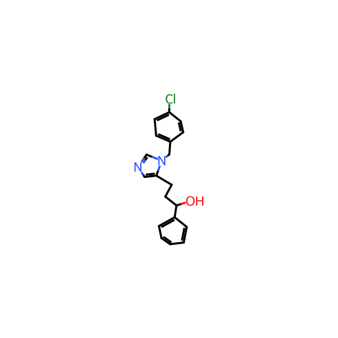 OC(CCc1cncn1Cc1ccc(Cl)cc1)c1ccccc1